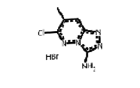 Br.Cc1cc2nnc(N)n2nc1Cl